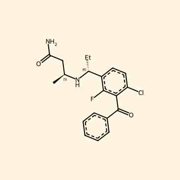 CC[C@@H](N[C@@H](C)CC(N)=O)c1ccc(Cl)c(C(=O)c2ccccc2)c1F